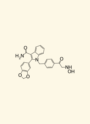 NC(=O)c1c(-c2ccc3c(c2)OCO3)n(Cc2ccc(C(=O)CNO)cc2)c2ccccc12